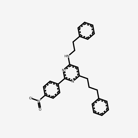 O=[N+]([O-])c1ccc(-c2nc(CCCc3ccccc3)cc(NCCc3ccccc3)n2)cc1